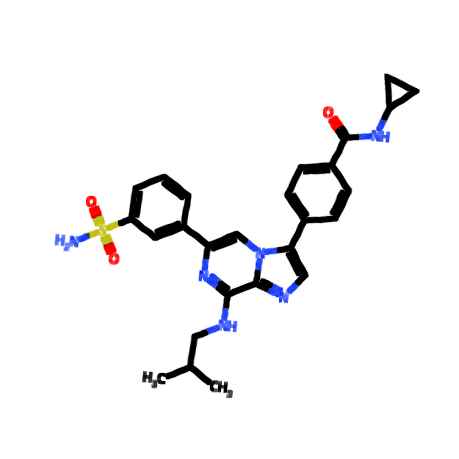 CC(C)CNc1nc(-c2cccc(S(N)(=O)=O)c2)cn2c(-c3ccc(C(=O)NC4CC4)cc3)cnc12